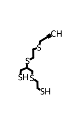 C#CCSCCSC(CS)CSCCS